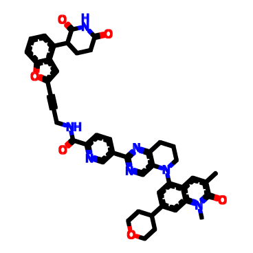 Cc1cc2c(N3CCCc4nc(-c5ccc(C(=O)NCC#Cc6cc7c(C8CCC(=O)NC8=O)cccc7o6)nc5)ncc43)cc(C3CCOCC3)cc2n(C)c1=O